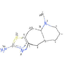 CCCN1CCCC2Cc3nc(N)sc3CC21